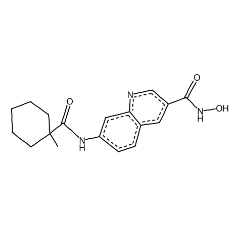 CC1(C(=O)Nc2ccc3cc(C(=O)NO)cnc3c2)CCCCC1